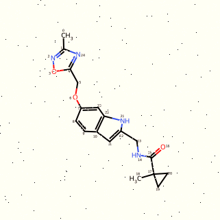 Cc1noc(COc2ccc3cc(CNC(=O)C4(C)CC4)[nH]c3c2)n1